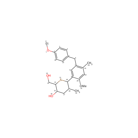 CCOc1ccc(Cc2cc(C3SC(CO)C(O)CC3C)c(OC)cc2C)cc1